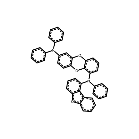 c1ccc(N(c2ccccc2)c2ccc3c(c2)Oc2cccc(N(c4ccccc4)c4cccc5oc6ccccc6c45)c2O3)cc1